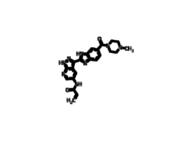 C=CC(=O)Nc1cnc2[nH]nc(-c3nc4ccc(C(=O)N5CCN(C)CC5)cc4[nH]3)c2c1